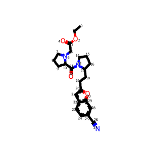 CCOC(=O)CN1CCCC1C(=O)N1CCCC1CCc1cc2ccc(C#N)cc2o1